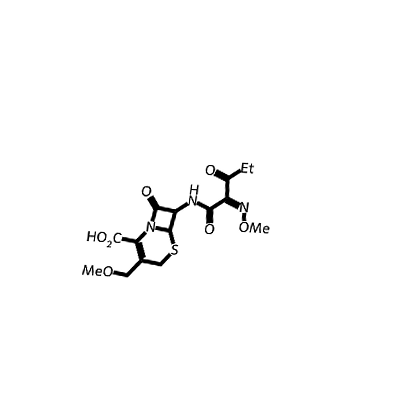 CCC(=O)/C(=N/OC)C(=O)NC1C(=O)N2C(C(=O)O)=C(COC)CSC12